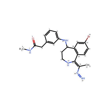 CNC(=O)Cc1cccc(NC2CCN/C(=C(/C)N=N)c3ccc(Br)cc32)c1